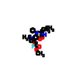 CCCCC1(CC)CN(c2ccccc2)c2cc(N(C)C)c(O/C=C(\F)C(=O)OCC)cc2S(=O)(=O)N1